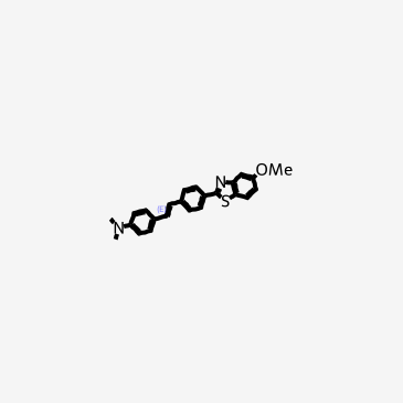 COc1ccc2sc(-c3ccc(/C=C/c4ccc(N(C)C)cc4)cc3)nc2c1